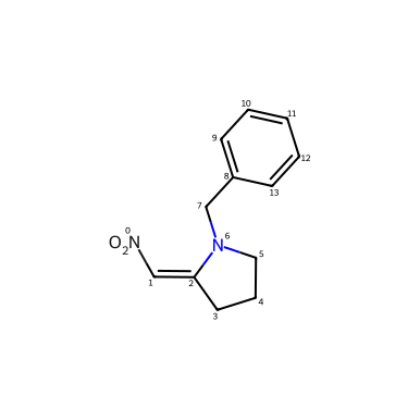 O=[N+]([O-])/C=C1/CCCN1Cc1ccccc1